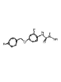 CCCN(C)C(=O)Nc1ccc(OCc2ccc(F)cc2)cc1F